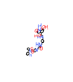 O=C(CCN1CCC(OC(=O)Nc2ccccc2-c2ccccc2)CC1)NCc1ccc(CNC[C@@H](O)c2ccc(O)c3[nH]c(=O)ccc23)cc1